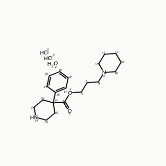 Cl.Cl.O.O=C(OCCCN1CCCCC1)C1(c2ccccc2)CCNCC1